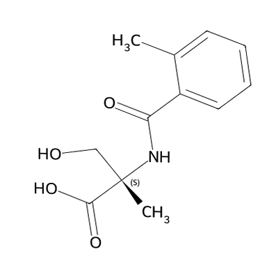 Cc1ccccc1C(=O)N[C@@](C)(CO)C(=O)O